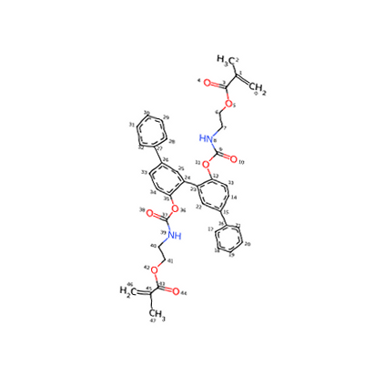 C=C(C)C(=O)OCCNC(=O)Oc1ccc(-c2ccccc2)cc1-c1cc(-c2ccccc2)ccc1OC(=O)NCCOC(=O)C(=C)C